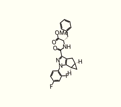 COC(=O)[C@H](Cc1ccccc1)NC(=O)c1nn(-c2ccc(F)cc2F)c2c1C[C@H]1C[C@@H]21